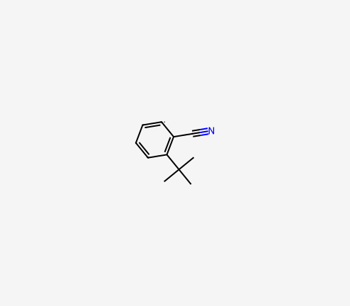 CC(C)(C)c1ccc[c]c1C#N